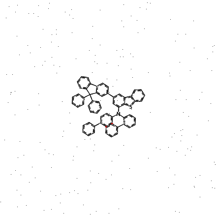 c1ccc(-c2ccc(N(c3ccccc3-c3ccccc3)c3cc(-c4ccc5c(c4)C(c4ccccc4)(c4ccccc4)c4ccccc4-5)cc4c3sc3ccccc34)cc2)cc1